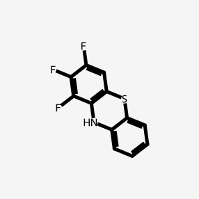 Fc1cc2c(c(F)c1F)Nc1ccccc1S2